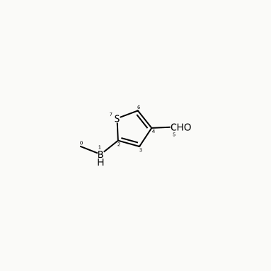 CBc1cc(C=O)cs1